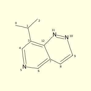 CC(C)c1cncc2ccnnc12